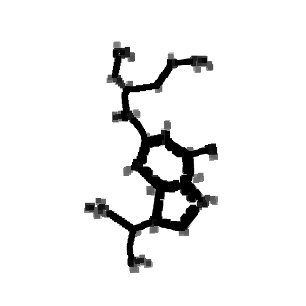 CC[C@H](COC)Nc1nc(Cl)c2ncn(C(C)C)c2n1